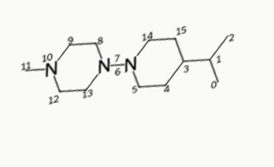 CC(C)C1CCN(N2CCN(C)CC2)CC1